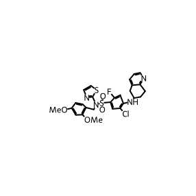 COc1ccc(CN(c2nccs2)S(=O)(=O)c2cc(Cl)c(NC3CCc4ncccc4C3)cc2F)c(OC)c1